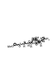 COc1cccc(C=CC(=O)SCCNC(=O)CCNC(=O)[C@H](O)C(C)(C)COP(=O)(O)OP(=O)(O)OC[C@H]2O[C@@H](n3cnc4c(N)ncnc43)[C@H](O)[C@@H]2OP(=O)(O)O)c1